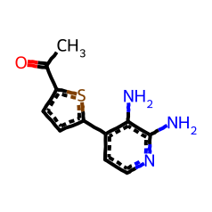 CC(=O)c1ccc(-c2ccnc(N)c2N)s1